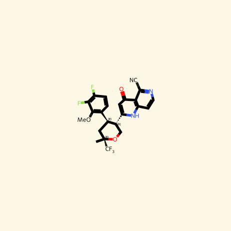 COc1c([C@@H]2C[C@](C)(C(F)(F)F)OC[C@H]2c2cc(=O)c3c(C#N)nccc3[nH]2)ccc(F)c1F